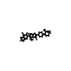 Cc1c(-c2[nH]c3sc(C4CCN(C5CCCNC5=O)CC4)c(C)c3c2C(C)C)cn2ncnc2c1C